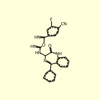 N#Cc1ccc(C(=N)OC(=N)NC2N=C(c3ccccc3)c3ccccc3NC2=O)cc1F